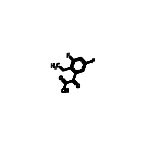 CCc1c(F)cc(F)cc1C(=O)C(=O)O